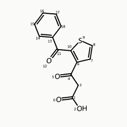 O=C(O)CC(=O)c1ccsc1C(=O)c1ccccc1